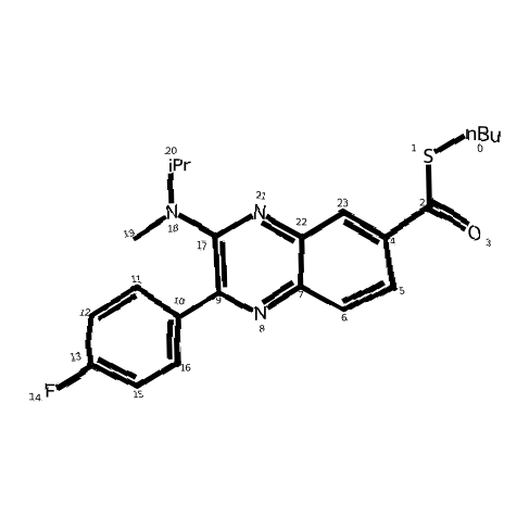 CCCCSC(=O)c1ccc2nc(-c3ccc(F)cc3)c(N(C)C(C)C)nc2c1